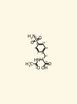 CC(=O)N[C@@H](Cc1ccc(S(N)(=O)=O)cc1)C(=O)O